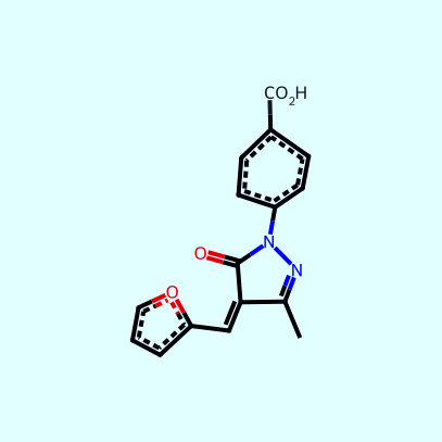 CC1=NN(c2ccc(C(=O)O)cc2)C(=O)C1=Cc1ccco1